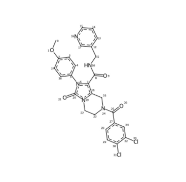 COc1ccc(-n2c(C(=O)NCc3cccnc3)c3n(c2=O)CCN(C(=O)c2ccc(Cl)c(Cl)c2)C3)cc1